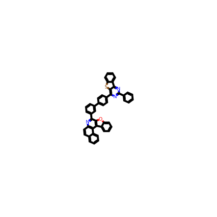 c1ccc(-c2nc(-c3ccc(-c4cccc(-c5nc6ccc7ccccc7c6c6c5oc5ccccc56)c4)cc3)c3sc4ccccc4c3n2)cc1